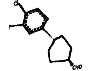 O=C[C@H]1CC[C@H](c2ccc(Cl)c(F)c2)CC1